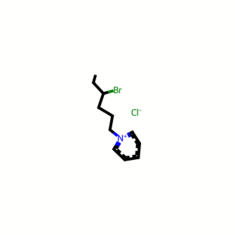 CCC(Br)CCC[n+]1ccccc1.[Cl-]